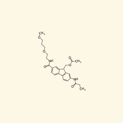 CCC(=O)Nc1ccc2c(c1)C(COC(C)=O)c1cc(C(=O)NCCOCCCOC)ccc1-2